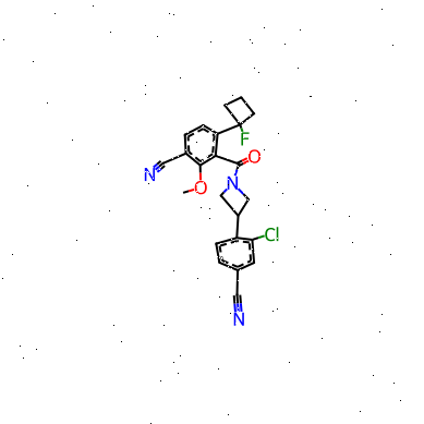 COc1c(C#N)ccc(C2(F)CCC2)c1C(=O)N1CC(c2ccc(C#N)cc2Cl)C1